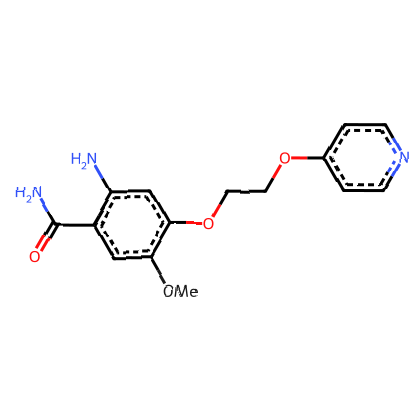 COc1cc(C(N)=O)c(N)cc1OCCOc1ccncc1